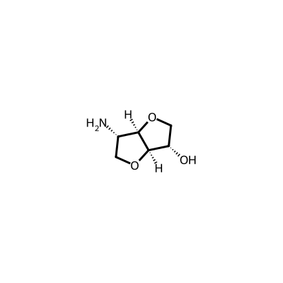 N[C@H]1CO[C@H]2[C@@H]1OC[C@@H]2O